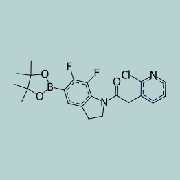 CC1(C)OB(c2cc3c(c(F)c2F)N(C(=O)Cc2cccnc2Cl)CC3)OC1(C)C